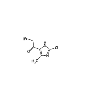 Cc1nc(Cl)[nH]c1C(=O)CC(C)C